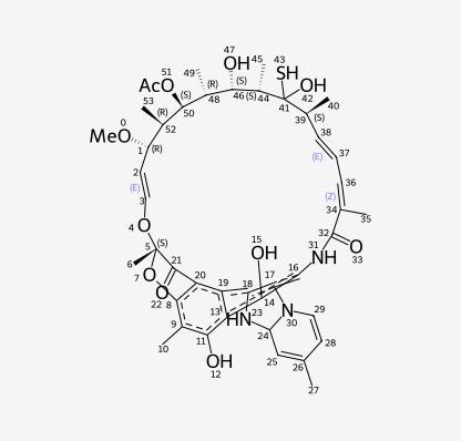 CO[C@H]1/C=C/O[C@@]2(C)Oc3c(C)c(O)c4c(O)c(c5c(c4c3C2=O)NC2C=C(C)C=CN52)NC(=O)/C(C)=C\C=C\[C@H](C)C(O)(S)[C@@H](C)[C@@H](O)[C@@H](C)[C@H](OC(C)=O)[C@@H]1C